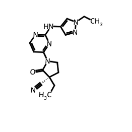 CCn1cc(Nc2nccc(N3CC[C@@](C#N)(CC)C3=O)n2)cn1